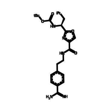 CC(C)C[C@H](NC(=O)OC(C)(C)C)c1nc(C(=O)NCCc2ccc(C(=N)N)cc2)co1